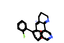 Fc1ccccc1-c1ccccc1/C=C1/CCCN=C1c1cccnc1